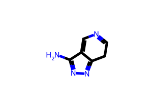 NC1=NN=C2CC=NC=C12